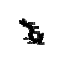 CCCCCCCCc1cc(/C=C2/SC(=S)N(CC)C2=O)sc1-c1cc(CCCCCCCC)c(-c2cc(CCCCCCCC)c(-c3ccc(-c4sc(-c5sc(-c6sc(/C=C7/SC(=S)N(CC)C7=O)cc6CCCCCCCC)cc5CCCCCCCC)cc4CCCCCCCC)s3)s2)s1